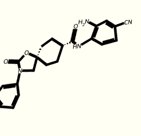 N#Cc1ccc(NC(=O)[C@H]2CC[C@]3(CC2)CN(c2ccccc2)C(=O)O3)c(N)c1